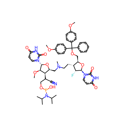 COc1ccc(C(OC[C@H]2O[C@@H](n3ccc(=O)[nH]c3=O)[C@H](F)[C@@H]2CCN(C)C[C@@H]2O[C@@H](n3ccc(=O)[nH]c3=O)[C@H](OC)[C@@H]2C(C#N)COP(O)N(C(C)C)C(C)C)(c2ccccc2)c2ccc(OC)cc2)cc1